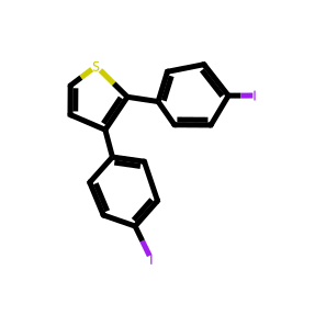 Ic1ccc(-c2ccsc2-c2ccc(I)cc2)cc1